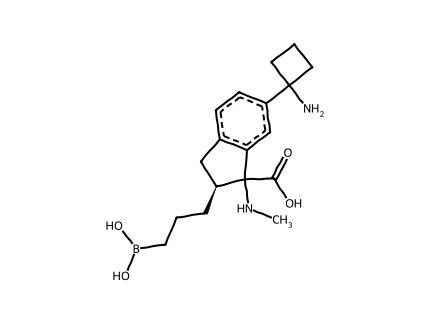 CNC1(C(=O)O)c2cc(C3(N)CCC3)ccc2C[C@@H]1CCCB(O)O